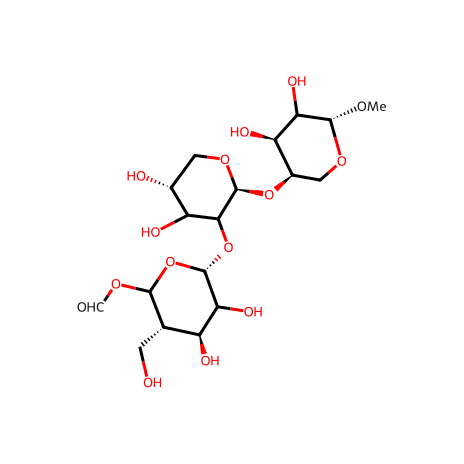 CO[C@@H]1OC[C@@H](O[C@@H]2OC[C@@H](O)C(O)C2O[C@H]2OC(OC=O)[C@@H](CO)[C@H](O)C2O)[C@@H](O)C1O